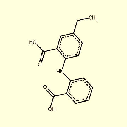 CCc1ccc(Nc2ccccc2C(=O)O)c(C(=O)O)c1